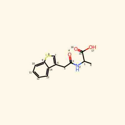 CC(NC(=O)Cc1csc2ccccc12)C(=O)O